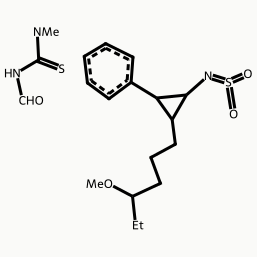 CCC(CCCC1C(N=S(=O)=O)C1c1ccccc1)OC.CNC(=S)NC=O